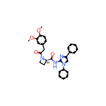 COc1ccc(CC(=O)N2CC[C@@H]2C(=O)Nc2nc(-c3ccccc3)cn2-c2ccccc2)cc1OC